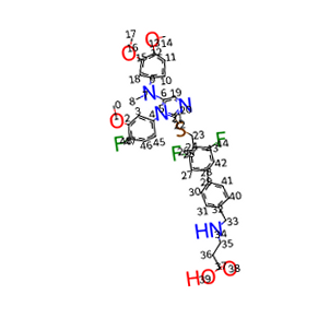 COc1cc(-n2c(N(C)c3ccc(OC)c(OC)c3)cnc2SCc2c(F)cc(-c3ccc(CNCCC(=O)O)cc3)cc2F)ccc1F